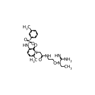 CCN(OCCNC(=O)Cn1c(C)ccc(NS(=O)(=O)c2cccc(C)c2)c1=O)C(=N)N